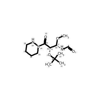 CO[C@H](NC=O)[C@H](OC(C)(C)C)C(=O)N1CCCCN1